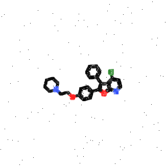 Clc1ccnc2oc(-c3ccc(OCCN4CCCCC4)cc3)c(-c3ccccc3)c12